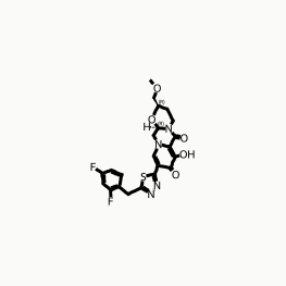 COC[C@H]1CCN2C(=O)c3c(O)c(=O)c(-c4nnc(Cc5ccc(F)cc5F)s4)cn3C[C@H]2O1